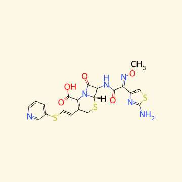 CON=C(C(=O)NC1C(=O)N2C(C(=O)O)=C(C=CSc3cccnc3)CS[C@@H]12)c1csc(N)n1